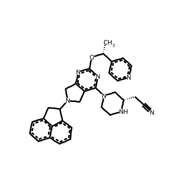 C[C@@H](Oc1nc2c(c(N3CCN[C@@H](CC#N)C3)n1)CN(C1Cc3cccc4cccc1c34)C2)c1ccncc1